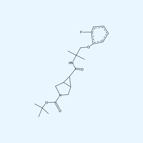 CC(C)(COc1ccccc1F)NC(=O)C1C2CN(C(=O)OC(C)(C)C)CC21